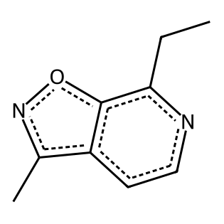 CCc1nccc2c(C)noc12